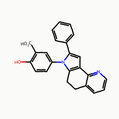 O=C(O)c1cc(-n2c(-c3ccccc3)cc3c2CCc2cccnc2-3)ccc1O